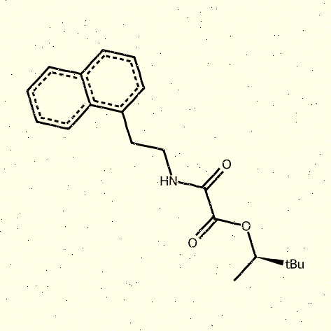 C[C@@H](OC(=O)C(=O)NCCc1cccc2ccccc12)C(C)(C)C